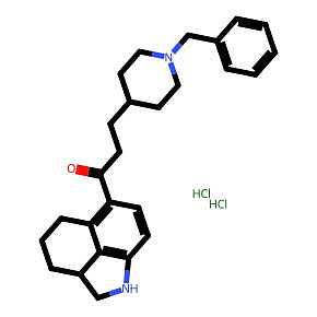 Cl.Cl.O=C(CCC1CCN(Cc2ccccc2)CC1)c1ccc2c3c1CCCC3CN2